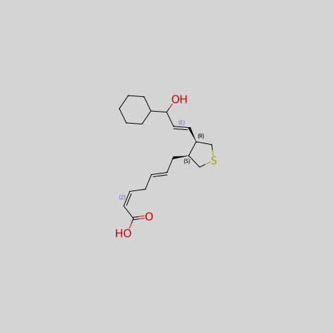 O=C(O)/C=C\CC=CC[C@@H]1CSC[C@@H]1/C=C/C(O)C1CCCCC1